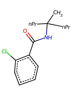 CCCC(C)(CCC)NC(=O)c1ccccc1Cl